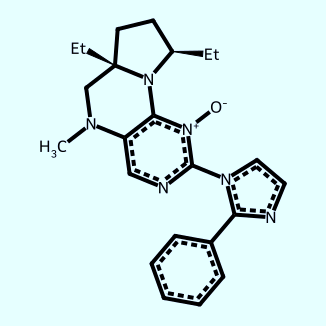 CC[C@@H]1CC[C@@]2(CC)CN(C)c3cnc(-n4ccnc4-c4ccccc4)[n+]([O-])c3N12